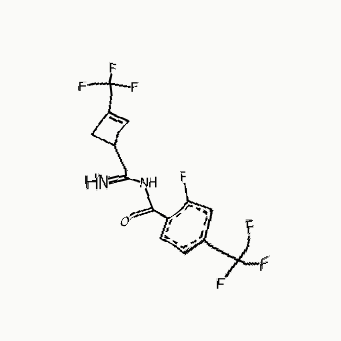 N=C(NC(=O)c1ccc(C(F)(F)F)cc1F)C1C=C(C(F)(F)F)C1